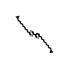 c1cc(CCCCCCCCCC2CC2)ncc1-c1cnc(CCCCCCCCCC2CC2)cn1